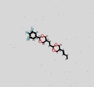 CCC=CC1COC(CCC2COC(c3cc(F)c(F)c(F)c3)OC2)OC1